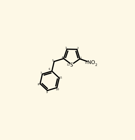 O=[N+]([O-])c1ccc(Cc2ccccc2)s1